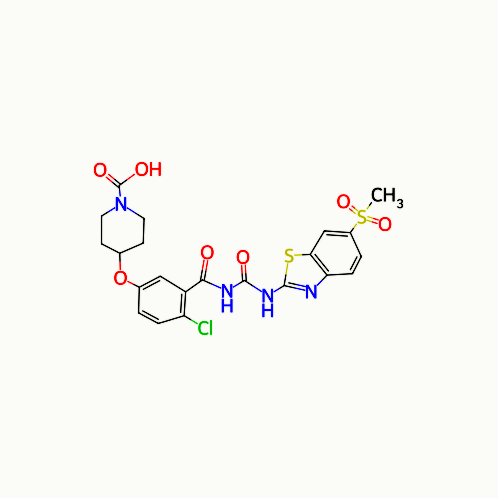 CS(=O)(=O)c1ccc2nc(NC(=O)NC(=O)c3cc(OC4CCN(C(=O)O)CC4)ccc3Cl)sc2c1